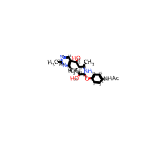 CC(=O)Nc1ccc(OC(NC(C)CC(O)c2cnc(C)nc2C)C(C)O)cc1